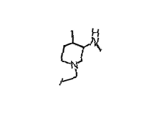 CNC1CN(CI)CCC1C